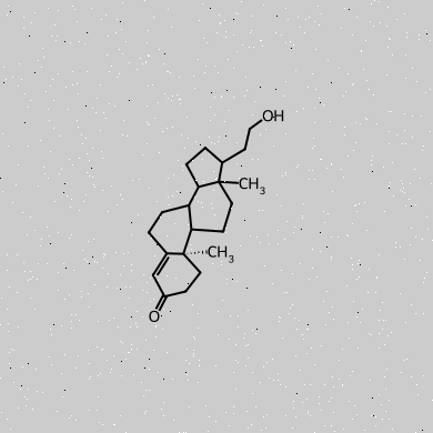 CC12CCC3C(CCC4=CC(=O)CC[C@@]43C)C1CCC2CCO